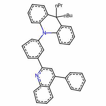 CCCCC1(CCC)c2ccccc2N(c2cccc(-c3cc(-c4ccccc4)c4ccccc4n3)c2)c2ccccc21